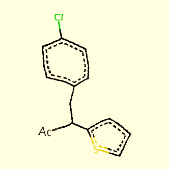 CC(=O)C(c1ccc(Cl)cc1)c1cccs1